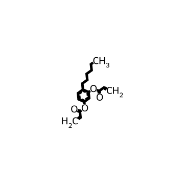 C=CC(=O)Oc1ccc(CCCCCC)c(OC(=O)C=C)c1